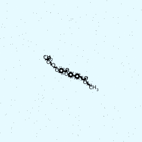 C=CC(=O)OCCOCCOc1ccc(C(=O)Oc2ccc(-c3ccc(/C=C/C(=O)OCCCC)cc3)cc2)cc1